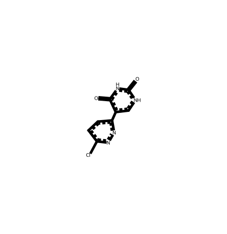 O=c1[nH]cc(-c2ccc(Cl)nn2)c(=O)[nH]1